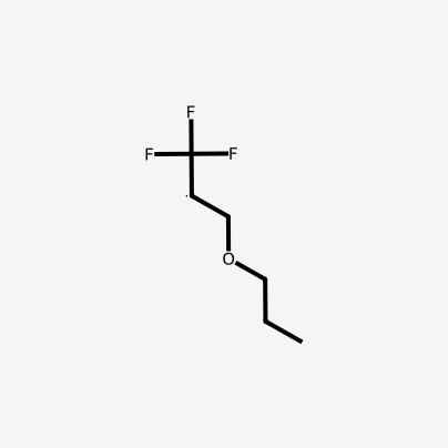 CCCOC[CH]C(F)(F)F